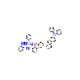 c1ccc(C2N=C(c3cccc4c3oc3ccc(-c5cccc6c5sc5cc(-n7c8ccccc8c8ccccc87)ccc56)cc34)NC(c3ccccc3)N2)cc1